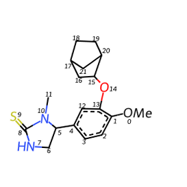 COc1ccc(C2CNC(=S)N2C)cc1OC1CC2CCC1C2